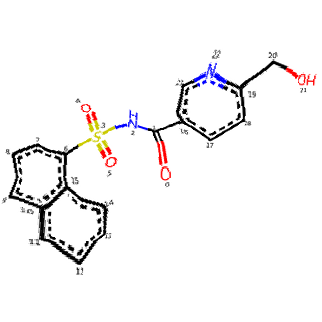 O=C(NS(=O)(=O)c1cccc2ccccc12)c1ccc(CO)nc1